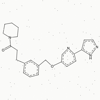 O=C(CCc1cccc(COc2ccc(-c3ccn[nH]3)nc2)c1)N1CCCCC1